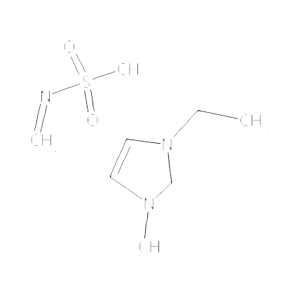 C=NS(C)(=O)=O.CCN1C=CN(C)C1